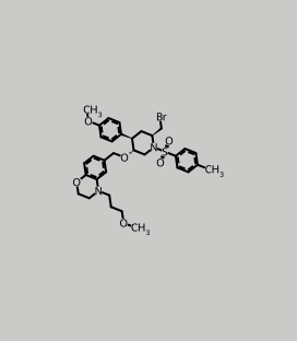 COCCCN1CCOc2ccc(CO[C@H]3CN(S(=O)(=O)c4ccc(C)cc4)[C@H](CBr)C[C@@H]3c3ccc(OC)cc3)cc21